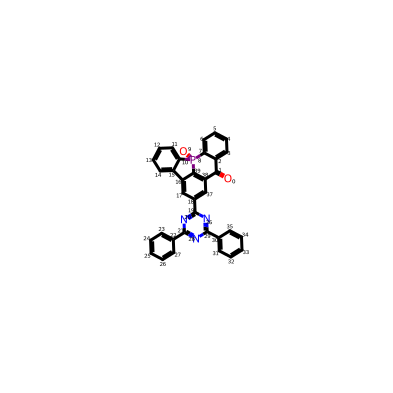 O=C1c2ccccc2P2(=O)c3ccccc3-c3cc(-c4nc(-c5ccccc5)nc(-c5ccccc5)n4)cc1c32